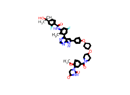 COc1ccc(C(=O)N2CCC(O[C@H]3CC[C@H](Oc4ccc(-c5cc6c(-c7cc(F)cc(NC(=O)c8ccc(C(C)(C)O)cc8F)c7C)ncnc6[nH]5)cc4)CC3)CC2)cc1N1CCC(=O)NC1=O